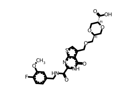 COc1cc(CNC(=O)c2nc3scc(COC[C@@H]4CO[C@@H](C(=O)O)CO4)c3c(=O)[nH]2)ccc1F